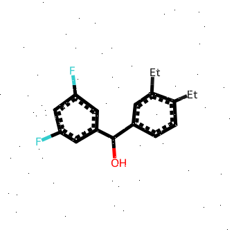 CCc1ccc(C(O)c2cc(F)cc(F)c2)cc1CC